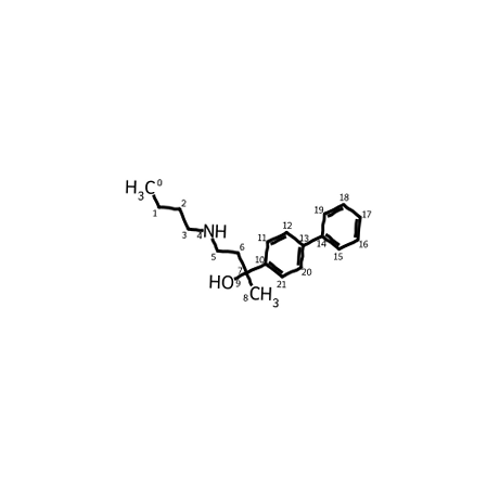 CCCCNCCC(C)(O)c1ccc(-c2ccccc2)cc1